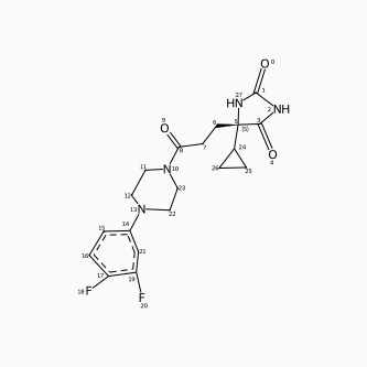 O=C1NC(=O)[C@](CCC(=O)N2CCN(c3ccc(F)c(F)c3)CC2)(C2CC2)N1